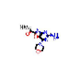 C=NNc1nc(N2CCOCC2)c2oc(C(=O)NC)nc2n1